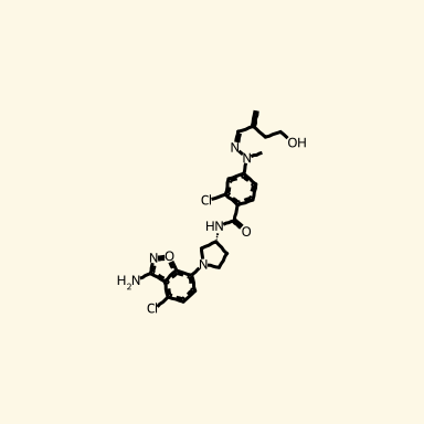 C=C(/C=N\N(C)c1ccc(C(=O)N[C@@H]2CCN(c3ccc(Cl)c4c(N)noc34)C2)c(Cl)c1)CCO